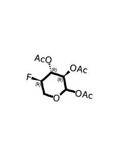 CC(=O)OC1OC[C@@H](F)[C@H](OC(C)=O)[C@H]1OC(C)=O